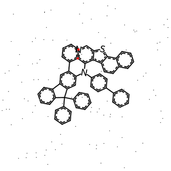 c1ccc(-c2ccc(N(c3cc4c(cc3-c3ccccc3)-c3ccccc3C4(c3ccccc3)c3ccccc3)c3cncc4sc5c6ccccc6ccc5c34)cc2)cc1